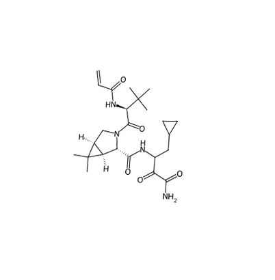 C=CC(=O)N[C@H](C(=O)N1C[C@H]2[C@@H]([C@H]1C(=O)NC(CC1CC1)C(=O)C(N)=O)C2(C)C)C(C)(C)C